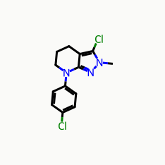 Cn1nc2c(c1Cl)CCCN2c1ccc(Cl)cc1